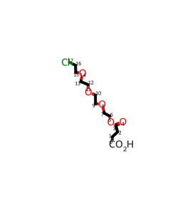 O=C(O)CCC(=O)OCCOCCOCCOCCCl